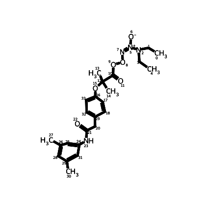 CCN(CC)/[N+]([O-])=N\OOC(=O)C(C)(C)Oc1ccc(CC(=O)Nc2cc(C)cc(C)c2)cc1